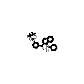 CC1(C)OB(c2cccc(C(=N)c3ccc4ccccc4c3NC3C=CC=CC3)c2)OC1(C)I